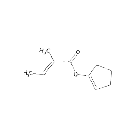 CC=C(C)C(=O)OC1=CCCC1